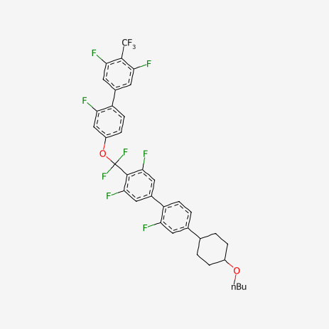 CCCCOC1CCC(c2ccc(-c3cc(F)c(C(F)(F)Oc4ccc(-c5cc(F)c(C(F)(F)F)c(F)c5)c(F)c4)c(F)c3)c(F)c2)CC1